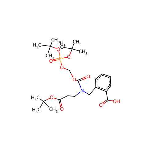 CC(C)(C)OC(=O)CCN(Cc1ccccc1C(=O)O)C(=O)OCOP(=O)(OC(C)(C)C)OC(C)(C)C